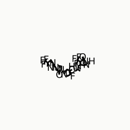 CC(COc1cc(N2CCN(c3ncc(C(F)(F)F)cn3)CC2=O)ncc1F)Nc1cn[nH]c(=O)c1C(F)(F)F